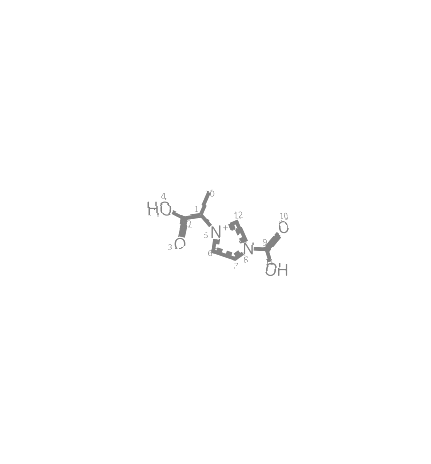 CC(C(=O)O)[n+]1ccn(C(=O)O)c1